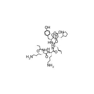 C/C=C/C[C@H](NC(=O)[C@H](CCCCN)NC(=O)[C@H](CCCCN)NC(=O)CC)C(=O)N[C@@H](Cc1ccc(O)cc1)C(=O)N[C@@H](CC1CCCC1)C(=O)O